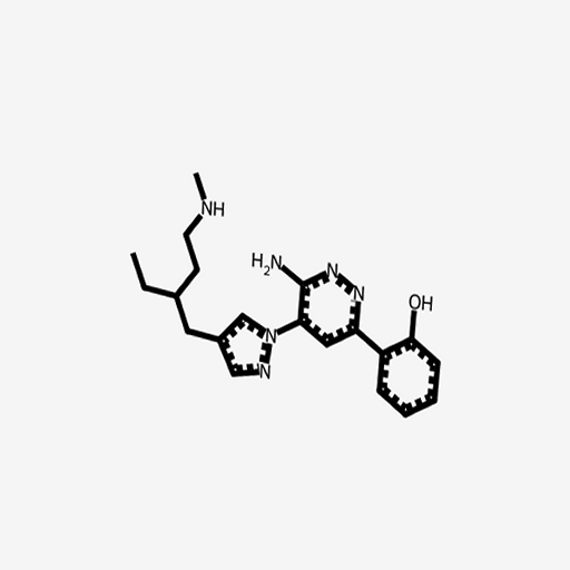 CCC(CCNC)Cc1cnn(-c2cc(-c3ccccc3O)nnc2N)c1